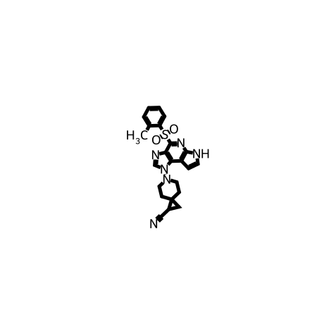 Cc1ccccc1S(=O)(=O)c1nc2[nH]ccc2c2c1ncn2N1CCC2(CC1)CC2C#N